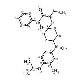 CCN1CC2(CCC(C(=O)c3ccc(OC(C)C)c(C)c3)CC2)OC(c2ccccc2)C1=O